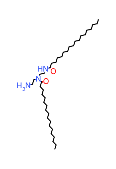 CCCCCCCCCCCCCCCCCC(=O)NCCN(CCN)C(=O)CCCCCCCCCCCCCCCCC